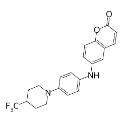 O=c1ccc2cc(Nc3ccc(N4CCC(C(F)(F)F)CC4)cc3)ccc2o1